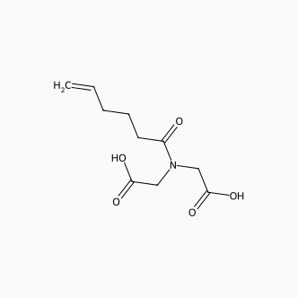 C=CCCCC(=O)N(CC(=O)O)CC(=O)O